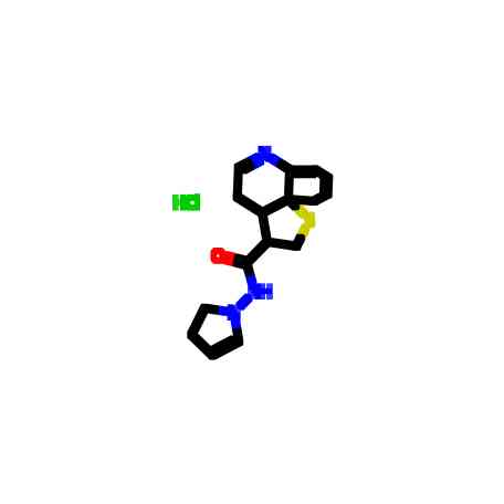 Cl.O=C(NN1C=CCC1)C1CSC23CC=CC=C2N=CCC13